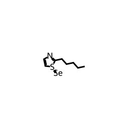 CCCCCC1=NC=CS1=[Se]